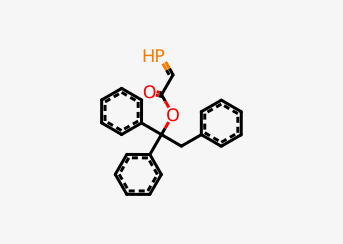 O=C(C=P)OC(Cc1ccccc1)(c1ccccc1)c1ccccc1